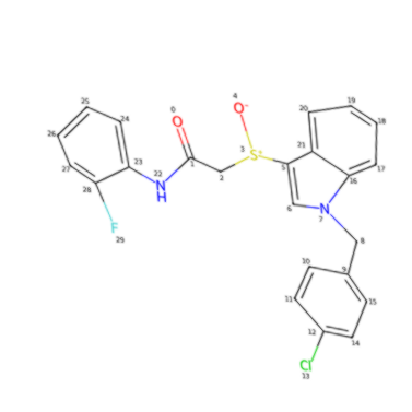 O=C(C[S+]([O-])c1cn(Cc2ccc(Cl)cc2)c2ccccc12)Nc1ccccc1F